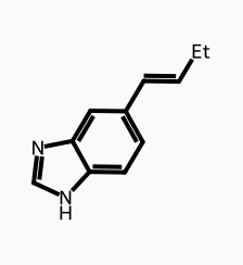 CC/C=C/c1ccc2[nH]cnc2c1